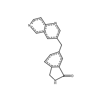 O=C1NCc2ccc(Cc3cnc4ccncc4c3)cc21